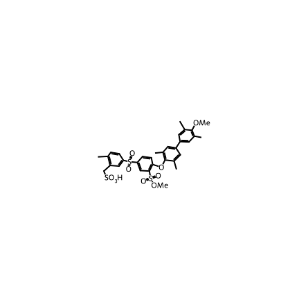 COc1c(C)cc(-c2cc(C)c(Oc3ccc(S(=O)(=O)c4ccc(C)c(CS(=O)(=O)O)c4)cc3S(=O)(=O)OC)c(C)c2)cc1C